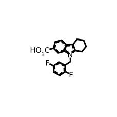 O=C(O)c1ccc2c3c(n(Cc4cc(F)ccc4F)c2c1)CCCC3